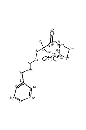 CC(C)(CCCCCc1ccccc1)C(=O)N1CCC[C@H]1C=O